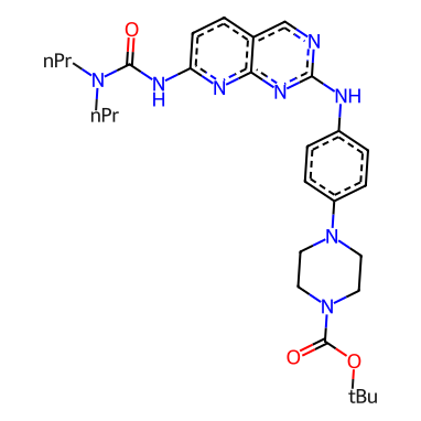 CCCN(CCC)C(=O)Nc1ccc2cnc(Nc3ccc(N4CCN(C(=O)OC(C)(C)C)CC4)cc3)nc2n1